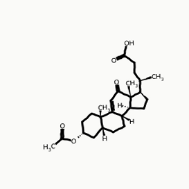 CC(=O)O[C@@H]1CC[C@]2(C)C3=CC(=O)[C@]4(C)[C@@H]([C@H](C)CCC(=O)O)CC[C@H]4[C@@H]3CC[C@@H]2C1